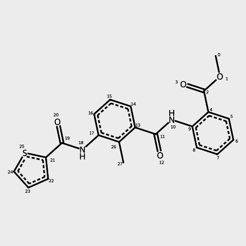 COC(=O)c1ccccc1NC(=O)c1cccc(NC(=O)c2cccs2)c1C